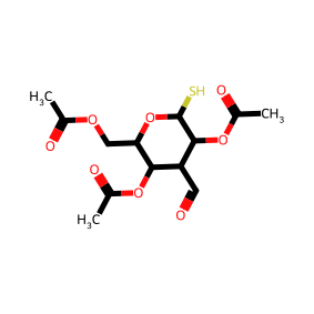 CC(=O)OCC1OC(S)C(OC(C)=O)C(C=O)C1OC(C)=O